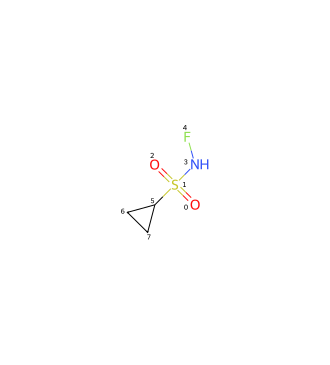 O=S(=O)(NF)C1CC1